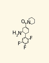 NC1CC(C(=O)N2CCCCC2)=CCC1c1cc(F)c(F)cc1F